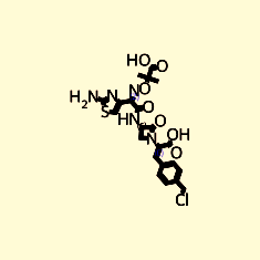 CC(C)(O/N=C(\C(=O)N[C@H]1CN(/C(=C/c2ccc(CCl)cc2)C(=O)O)C1=O)c1csc(N)n1)C(=O)O